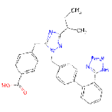 CCC(C)c1nc(Cc2ccc(C(=O)O)cc2)n(Cc2ccc(-c3ccccc3-c3nnn[nH]3)cc2)n1